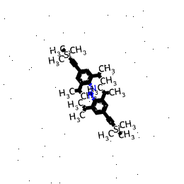 CC(C)c1cc(C#C[Si](C)(C)C)cc(C(C)C)c1/N=N/c1c(C(C)C)cc(C#C[Si](C)(C)C)cc1C(C)C